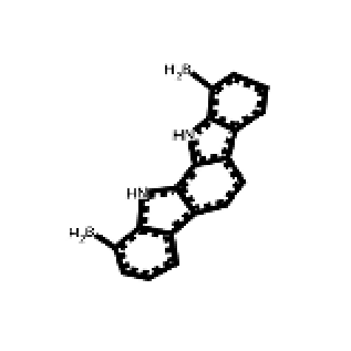 Bc1cccc2c1[nH]c1c2ccc2c3cccc(B)c3[nH]c21